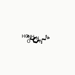 CN(C)CCN(C)c1ccc(C(=O)NO)cn1